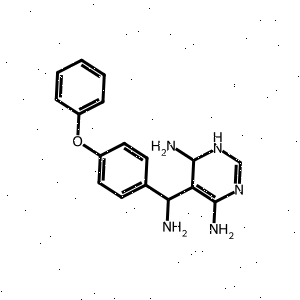 NC1=C(C(N)c2ccc(Oc3ccccc3)cc2)C(N)NC=N1